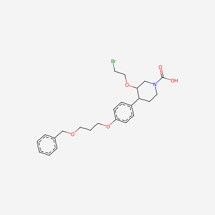 O=C(O)N1CCC(c2ccc(OCCCOCc3ccccc3)cc2)C(OCCBr)C1